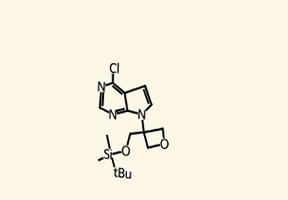 CC(C)(C)[Si](C)(C)OCC1(n2ccc3c(Cl)ncnc32)COC1